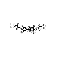 C=C(C)C(=O)C(=O)COc1c(Br)cc(C(C)(C)c2cc(Br)c(OCC(=O)C(=O)C(=C)C)c(Br)c2)cc1Br